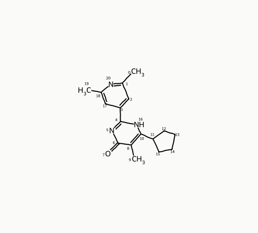 Cc1cc(-c2nc(=O)c(C)c(C3CCCC3)[nH]2)cc(C)n1